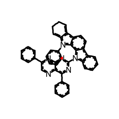 C1=c2c(n(-c3ccccc3)c3c2ccc2c4ccccc4n(-c4nc(-c5ccccc5)c5ncc(-c6ccccc6)nc5n4)c23)=CCC1